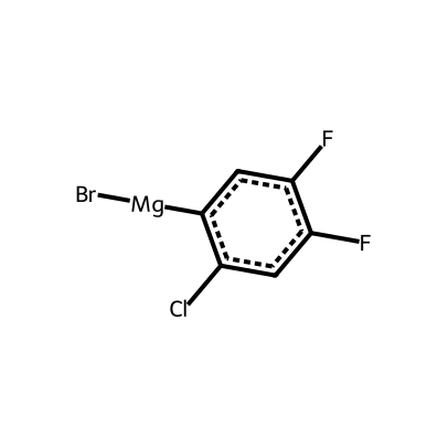 Fc1cc(Cl)[c]([Mg][Br])cc1F